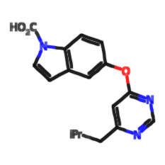 CC(C)Cc1cc(Oc2ccc3c(ccn3C(=O)O)c2)ncn1